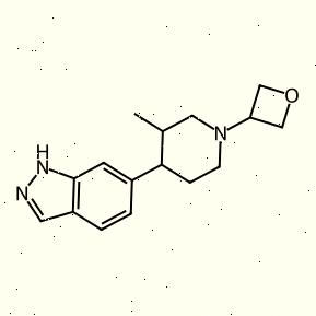 CC1CN(C2COC2)CCC1c1ccc2cn[nH]c2c1